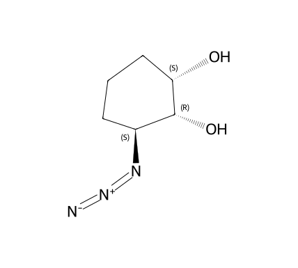 [N-]=[N+]=N[C@H]1CCC[C@H](O)[C@@H]1O